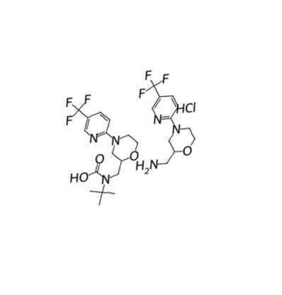 CC(C)(C)N(CC1CN(c2ccc(C(F)(F)F)cn2)CCO1)C(=O)O.Cl.NCC1CN(c2ccc(C(F)(F)F)cn2)CCO1